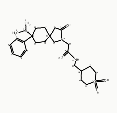 CN(C)[C@]1(c2ccccc2)CC[C@@]2(CC1)CC(=O)N(CC(=O)NCC1CCS(=O)(=O)CC1)C2